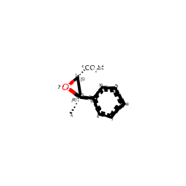 CCOC(=O)[C@H]1O[C@]1(C)c1ccccc1